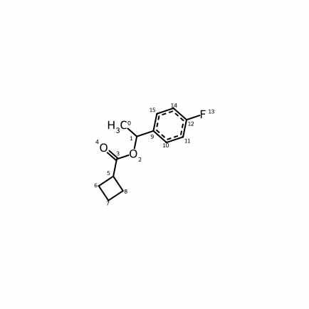 CC(OC(=O)C1CCC1)c1ccc(F)cc1